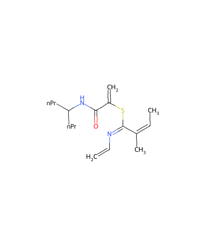 C=C/N=C(SC(=C)C(=O)NC(CCC)CCC)\C(C)=C/C